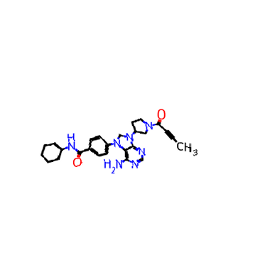 CC#CC(=O)N1CCC(N2CN(c3ccc(C(=O)NC4CCCCC4)cc3)c3c(N)ncnc32)C1